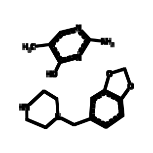 Cc1cnc(N)nc1O.c1cc2c(cc1CN1CCNCC1)OCO2